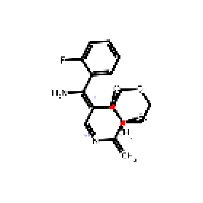 C=C(/N=C\C(C(=O)N(C)CC)=C(/N)c1ccccc1F)N1CCOCC1